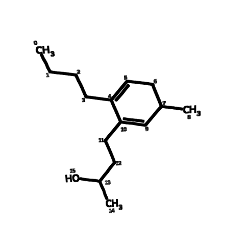 CCCCC1=CCC(C)C=C1CCC(C)O